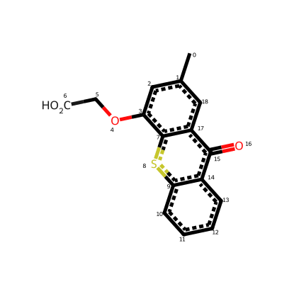 Cc1cc(OCC(=O)O)c2sc3ccccc3c(=O)c2c1